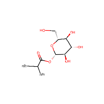 CCCC(CCC)C(=O)O[C@@H]1O[C@H](CO)[C@@H](O)[C@H](O)[C@H]1O